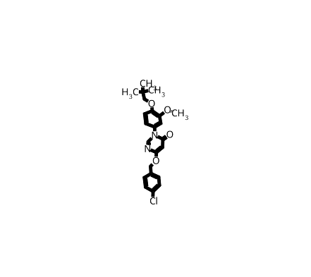 COc1cc(-n2cnc(OCc3ccc(Cl)cc3)cc2=O)ccc1OCC(C)(C)C